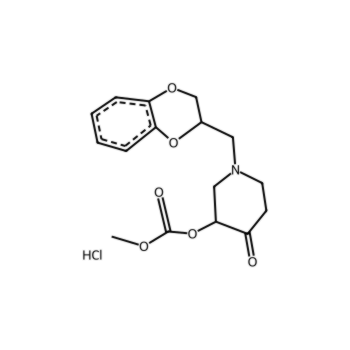 COC(=O)OC1CN(CC2COc3ccccc3O2)CCC1=O.Cl